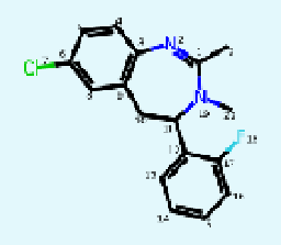 CC1=Nc2ccc(Cl)cc2CC(c2ccccc2F)N1C